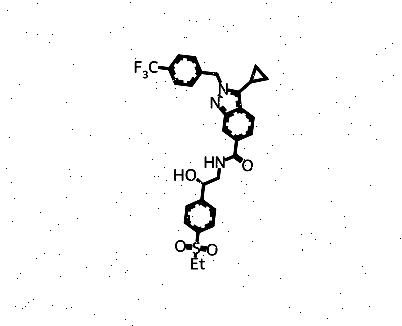 CCS(=O)(=O)c1ccc([C@@H](O)CNC(=O)c2ccc3c(C4CC4)n(Cc4ccc(C(F)(F)F)cc4)nc3c2)cc1